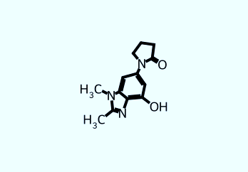 Cc1nc2c(O)cc(N3CCCC3=O)cc2n1C